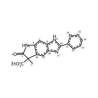 CCOC(=O)C1(C)C(=O)Nc2cc3[nH]c(-c4cccnn4)nc3cc21